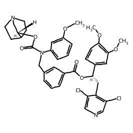 COc1cccc(N(Cc2cccc(C(=O)O[C@@H](Cc3c(Cl)cncc3Cl)c3ccc(OC)c(OC)c3)c2)C(=O)O[C@H]2CN3CCC2CC3)c1